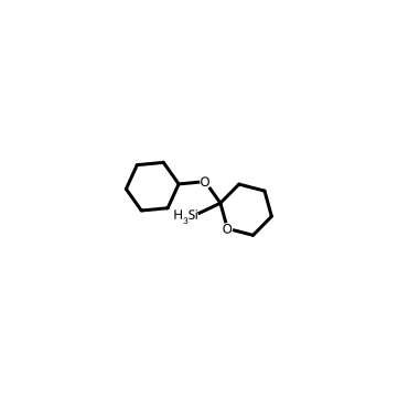 [SiH3]C1(OC2CCCCC2)CCCCO1